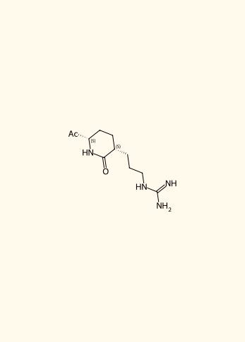 CC(=O)[C@@H]1CC[C@H](CCCNC(=N)N)C(=O)N1